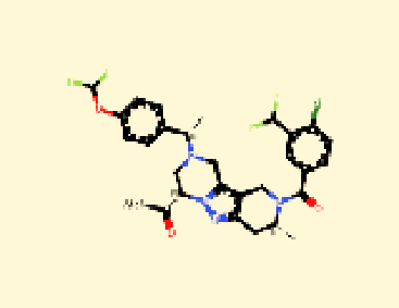 CNC(=O)[C@@H]1CN([C@@H](C)c2ccc(OC(F)F)cc2)Cc2c3c(nn21)C[C@@H](C)N(C(=O)c1ccc(Cl)c(C(F)F)c1)C3